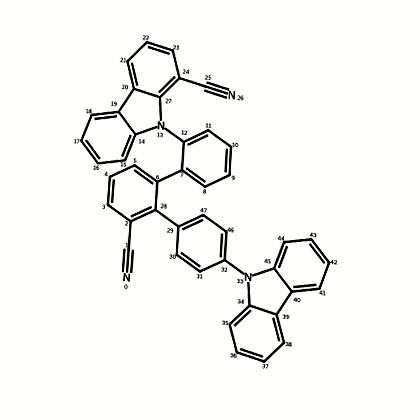 N#Cc1cccc(-c2ccccc2-n2c3ccccc3c3cccc(C#N)c32)c1-c1ccc(-n2c3ccccc3c3ccccc32)cc1